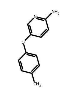 Cc1ccc(Oc2ccc(N)nc2)cc1